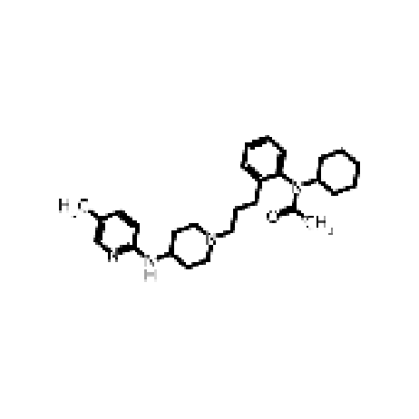 CC(=O)N(c1ccccc1CCCN1CCC(Nc2ccc(C)cn2)CC1)C1CCCCC1